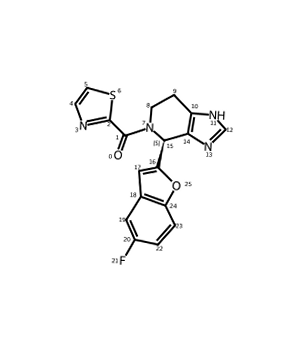 O=C(c1nccs1)N1CCc2[nH]cnc2[C@H]1c1cc2cc(F)ccc2o1